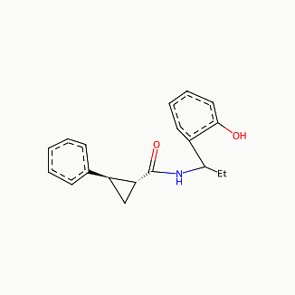 CCC(NC(=O)[C@@H]1C[C@H]1c1ccccc1)c1ccccc1O